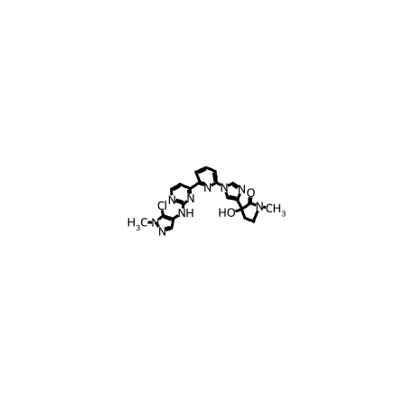 CN1CCC(O)(c2cn(-c3cccc(-c4ccnc(Nc5cnn(C)c5Cl)n4)n3)cn2)C1=O